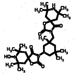 CC1(C)CC(N2C(=O)OC3(CC(C)(C)N(O)C(C)(C)C3)C2=O)CC(C)(CN2C(=O)OC3(CC(C)(C)NC(C)(C)C3)C2=O)C1